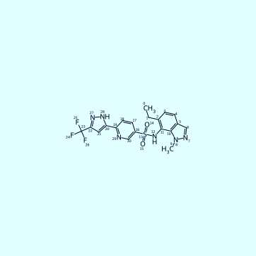 CCc1ccc2cnn(C)c2c1NS(=O)(=O)c1ccc(-c2cc(C(F)(F)F)n[nH]2)nc1